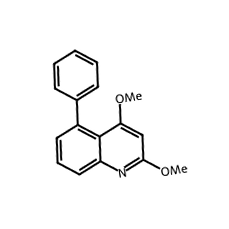 COc1cc(OC)c2c(-c3ccccc3)cccc2n1